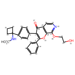 O=C(O)NC1(c2ccc(-c3c(-c4ccccc4)oc4c(OCCO)nccc4c3=O)cc2)CCC1